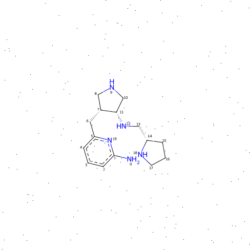 Nc1cccc(C[C@@H]2CNC[C@@H]2NC[C@@H]2CCCN2)n1